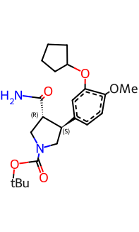 COc1ccc([C@H]2CN(C(=O)OC(C)(C)C)C[C@@H]2C(N)=O)cc1OC1CCCC1